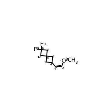 CO/C=C\C1CC2(C1)CC(F)(F)C2